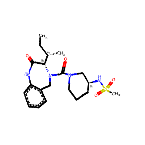 CC[C@H](C)[C@H]1C(=O)Nc2ccccc2CN1C(=O)N1CCC[C@H](NS(C)(=O)=O)C1